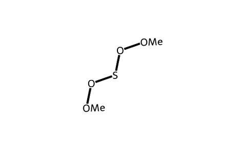 COOSOOC